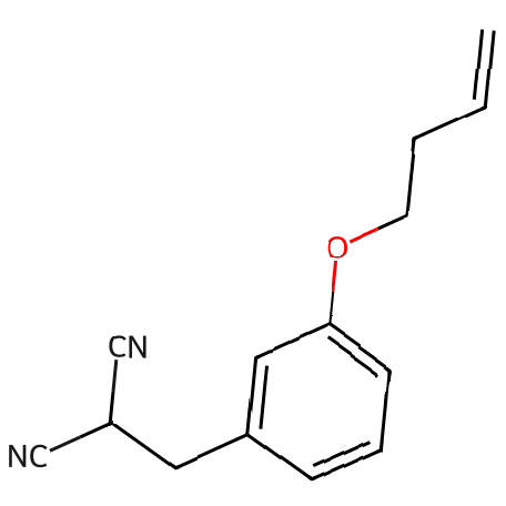 C=CCCOc1cccc(CC(C#N)C#N)c1